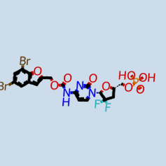 O=C(Nc1ccn([C@@H]2O[C@H](COP(=O)(O)O)CC2(F)F)c(=O)n1)OCc1cc2cc(Br)cc(Br)c2o1